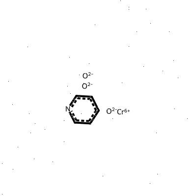 [Cr+6].[O-2].[O-2].[O-2].c1ccncc1